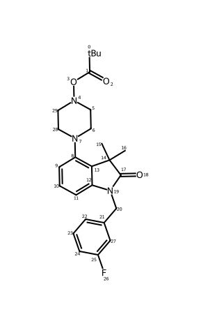 CC(C)(C)C(=O)ON1CCN(c2cccc3c2C(C)(C)C(=O)N3Cc2cccc(F)c2)CC1